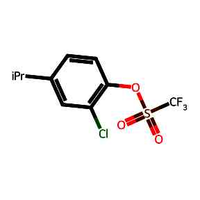 CC(C)c1ccc(OS(=O)(=O)C(F)(F)F)c(Cl)c1